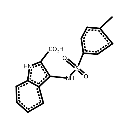 Cc1ccc(S(=O)(=O)Nc2c(C(=O)O)[nH]c3ccccc23)cc1